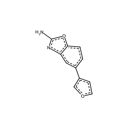 Nc1nc2cc(-c3ccoc3)ccc2o1